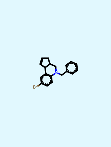 Brc1ccc2c(c1)C1C=CCC1CN2Cc1ccccc1